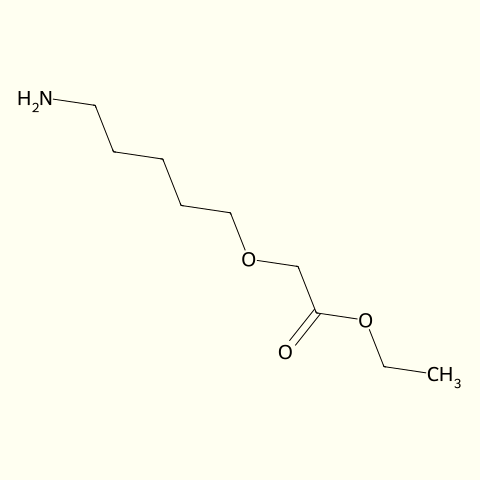 CCOC(=O)COCCCCCN